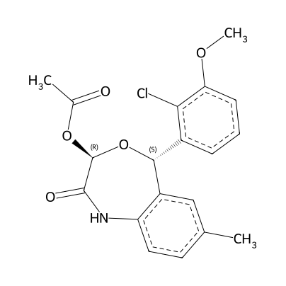 COc1cccc([C@H]2O[C@H](OC(C)=O)C(=O)Nc3ccc(C)cc32)c1Cl